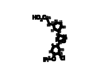 CC(C)Oc1ccc(-c2nc(-c3cccc(CCC(=O)O)c3)no2)cc1Cl